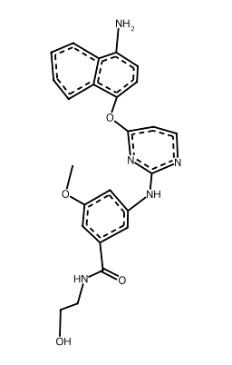 COc1cc(Nc2nccc(Oc3ccc(N)c4ccccc34)n2)cc(C(=O)NCCO)c1